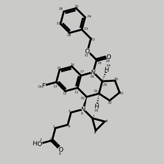 O=C(O)CCCN(C1CC1)[C@H]1c2cc(F)ccc2N(C(=O)OCc2ccccc2)[C@H]2CCC[C@H]21